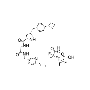 Cc1nc(N)ccc1CNC(=O)[C@H](C)NC(=O)[C@H]1C[C@H](Cc2ccc(C3CCC3)cc2)CN1.O=C(O)C(F)(F)F.O=C(O)C(F)(F)F